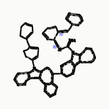 N=C(/N=C1/C=CC=C/C1=C\c1ccccc1)n1c2ccccc2c2ccc(-c3cc4c(c5ccccc35)c3ccccc3n4C3=CC=C(C4=CC=CCC4)CC3)cc21